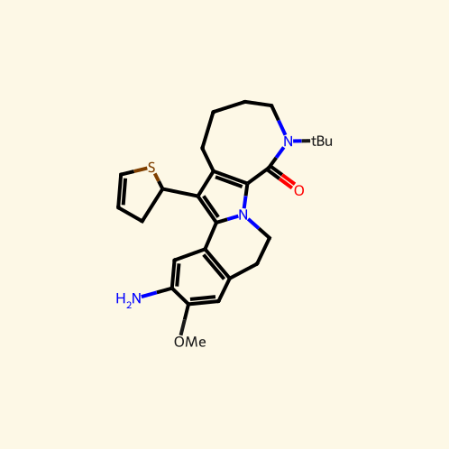 COc1cc2c(cc1N)-c1c(C3CC=CS3)c3c(n1CC2)C(=O)N(C(C)(C)C)CCCC3